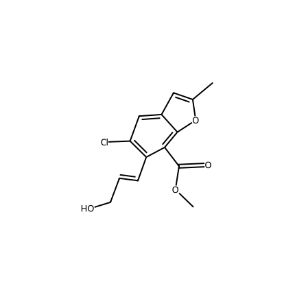 COC(=O)c1c(/C=C/CO)c(Cl)cc2cc(C)oc12